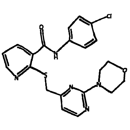 O=C(Nc1ccc(Cl)cc1)c1cccnc1SCc1ccnc(N2CCOCC2)n1